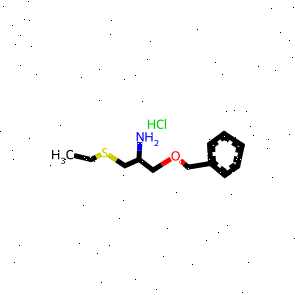 CCSCC(N)COCc1ccccc1.Cl